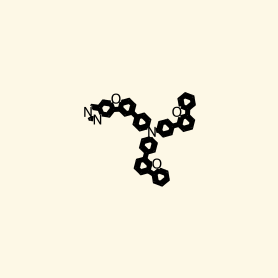 c1ccc2c(c1)oc1c(-c3ccc(N(c4ccc(-c5ccc6oc7cc8cncnc8cc7c6c5)cc4)c4ccc(-c5cccc6c5oc5ccccc56)cc4)cc3)cccc12